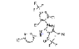 N#Cc1nn(-c2c(Cl)cc(C(F)(F)F)cc2Cl)c(/N=C/c2ccc(O)cc2)c1[S+]([O-])C(F)(F)F